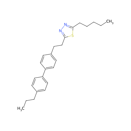 CCCCCc1nnc(CCc2ccc(-c3ccc(CCC)cc3)cc2)s1